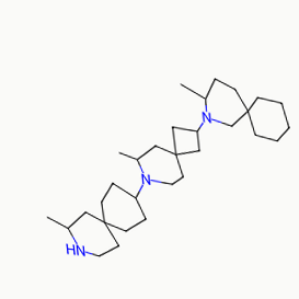 CC1CC2(CCN1)CCC(N1CCC3(CC1C)CC(N1CC4(CCCCC4)CCC1C)C3)CC2